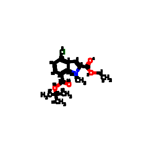 CCOC(=O)c1cc2c(Cl)ccc(C(=O)OC(C)(C)C)c2n1C